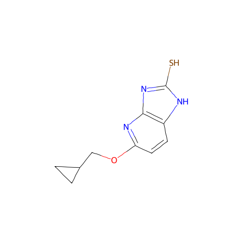 Sc1nc2nc(OCC3CC3)ccc2[nH]1